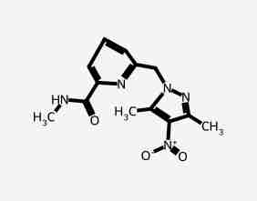 CNC(=O)c1cccc(Cn2nc(C)c([N+](=O)[O-])c2C)n1